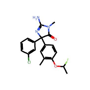 Cc1cc(C2(c3cccc(Cl)c3)N=C(N)N(C)C2=O)ccc1OC(C)F